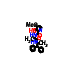 COc1ccnc(C(=O)N[C@@H](C)C(=O)NC(C)=C(c2ccccc2)c2ccccc2)c1O